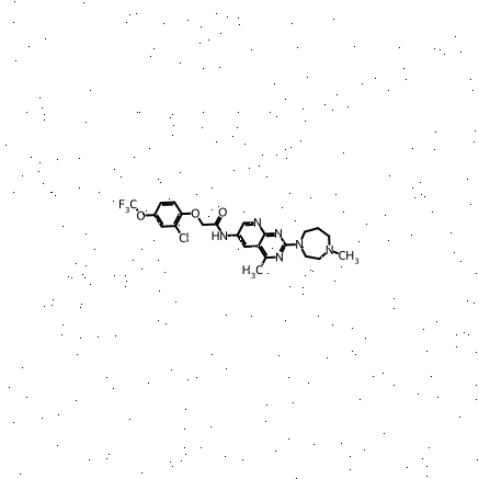 Cc1nc(N2CCCN(C)CC2)nc2ncc(NC(=O)COc3ccc(OC(F)(F)F)cc3Cl)cc12